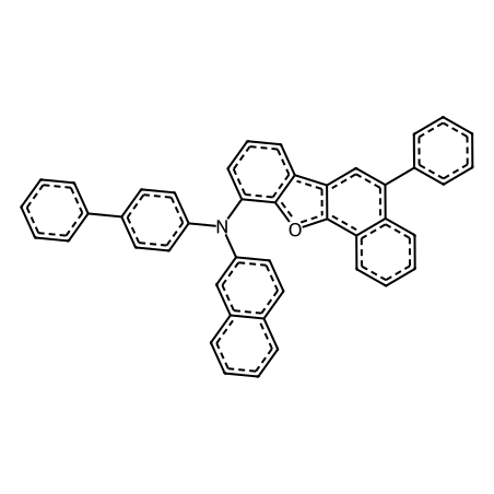 c1ccc(-c2ccc(N(c3ccc4ccccc4c3)c3cccc4c3oc3c5ccccc5c(-c5ccccc5)cc43)cc2)cc1